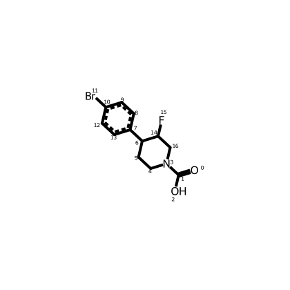 O=C(O)N1CCC(c2ccc(Br)cc2)C(F)C1